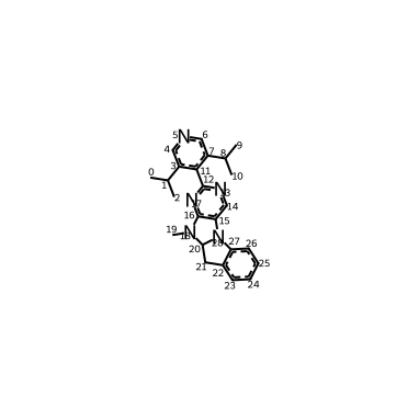 CC(C)c1cncc(C(C)C)c1-c1ncc2c(n1)N(C)C1Cc3ccccc3N21